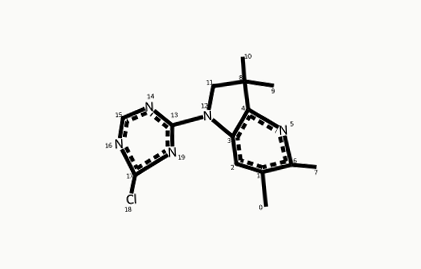 Cc1cc2c(nc1C)C(C)(C)CN2c1ncnc(Cl)n1